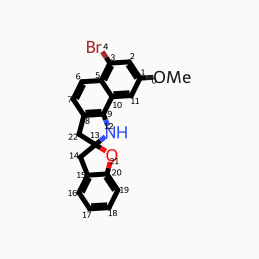 COc1cc(Br)c2ccc3c(c2c1)NC1(Cc2ccccc2O1)C3